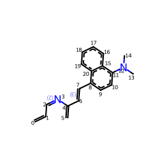 C=C/C=N\C(=C)/C=C/c1ccc(N(C)C)c2ccccc12